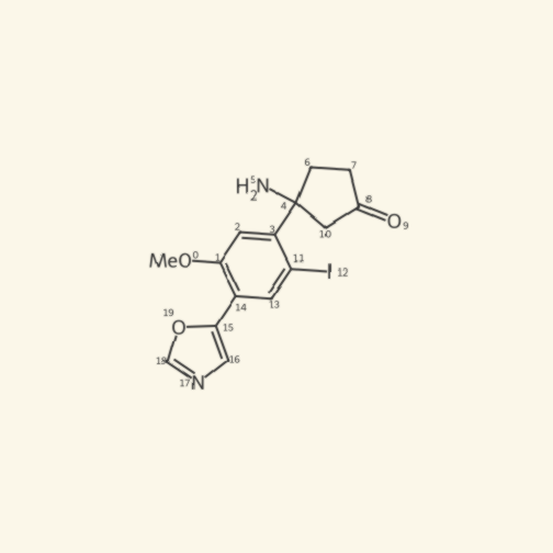 COc1cc(C2(N)CCC(=O)C2)c(I)cc1-c1cnco1